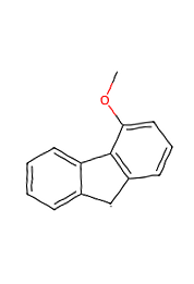 COc1cccc2c1-c1ccccc1[CH]2